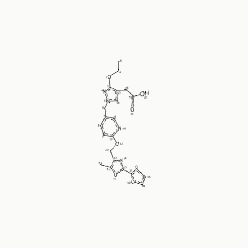 CCOc1nn(Cc2ccc(OCc3nc(-c4ccco4)oc3C)nc2)cc1CC(=O)O